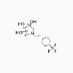 C[C@@H]1[C@@H](O)[C@H](O)[C@@H](O)CN1CC[C@H]1CC[C@H](C(F)(F)F)CC1